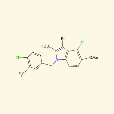 CCc1c(C(=O)O)n(Cc2ccc(Cl)c(C(F)(F)F)c2)c2ccc(OC)c(Cl)c12